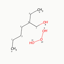 CCCCC(CC)CO.OOO